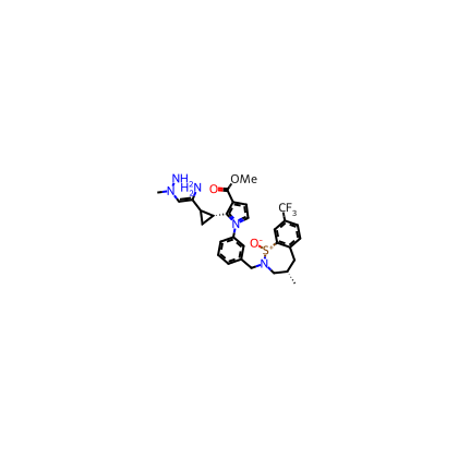 COC(=O)c1ccn(-c2cccc(CN3C[C@@H](C)Cc4ccc(C(F)(F)F)cc4[S+]3[O-])c2)c1[C@@H]1CC1/C(N)=C/N(C)N